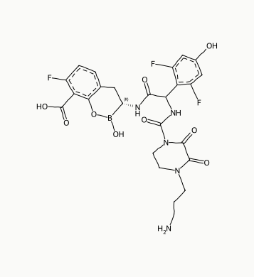 NCCCN1CCN(C(=O)NC(C(=O)N[C@H]2Cc3ccc(F)c(C(=O)O)c3OB2O)c2c(F)cc(O)cc2F)C(=O)C1=O